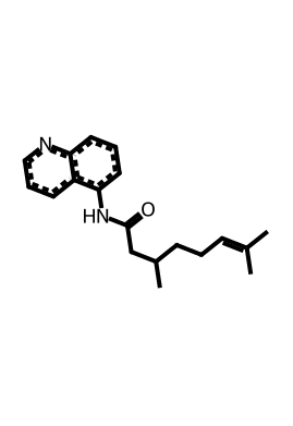 CC(C)=CCCC(C)CC(=O)Nc1cccc2ncccc12